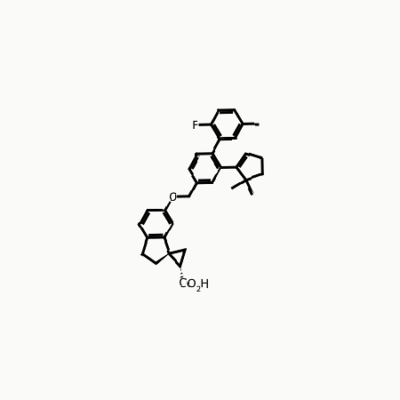 Cc1ccc(F)c(-c2ccc(COc3ccc4c(c3)[C@]3(CC4)C[C@@H]3C(=O)O)cc2C2=CCCC2(C)C)c1